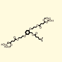 CCCCCCCCOC(CCC(=O)OCCCOc1ccc(OCCCOC(=O)CCC(OCCCCCCCC)OCCCCCCCC)c(COC(=O)CCCN(C)C)c1)OCCCCCCCC